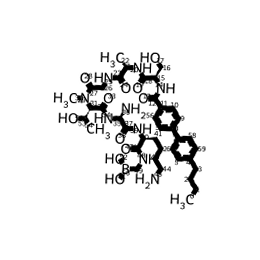 CCCCc1ccc(-c2ccc(C(=O)N[C@H](CO)C(=O)N[C@H](C)C(=O)NCC(=O)N(C)[C@H](C(=O)N[C@@H](N)C(=O)N[C@@H](CCCCN)C(=O)NCB(O)O)C(C)O)cc2)cc1